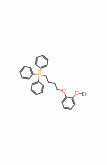 CCOc1ccccc1OCCCC[PH](c1ccccc1)(c1ccccc1)c1ccccc1